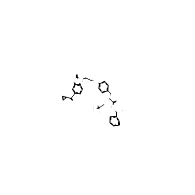 O=C(c1ccc2c(c1)sc(=O)n2CCOc1ccc(C[C@H](OCC(F)(F)F)C(=O)N[C@H](CO)c2ccccc2)cc1)C1CC1